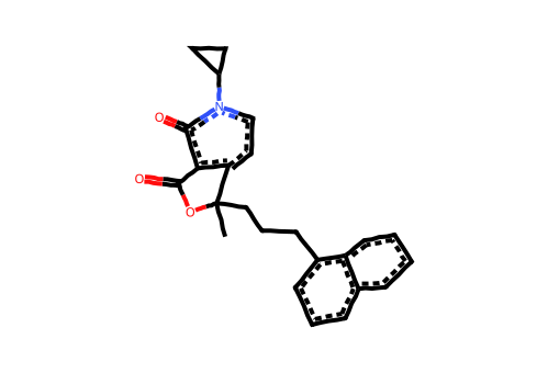 CC1(CCCc2cccc3ccccc23)OC(=O)c2c1ccn(C1CC1)c2=O